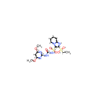 CCS(=O)(=O)c1nc2ccccn2c1S(=O)(=O)NC(=O)Nc1nc(OC)cc(OC)n1